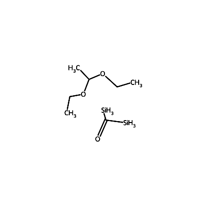 CCOC(C)OCC.O=C([SiH3])[SiH3]